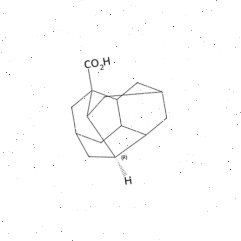 O=C(O)C12CC3CC4C5CC(CC41)CC2[C@@H]5C3